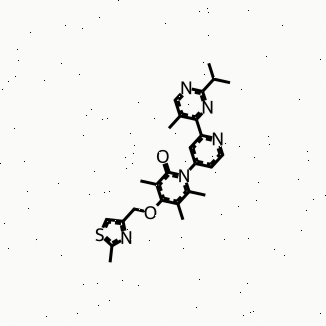 Cc1nc(COc2c(C)c(C)n(-c3ccnc(-c4nc(C(C)C)ncc4C)c3)c(=O)c2C)cs1